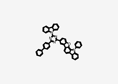 c1ccc(-c2ccc(-c3nc(-c4ccc5oc6c(ccc7c8ccccc8n(-c8ccccc8)c76)c5c4)nc(-n4c5ccccc5c5ccccc54)n3)cc2)cc1